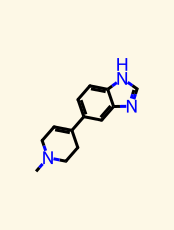 CN1CC=C(c2ccc3[nH]cnc3c2)CC1